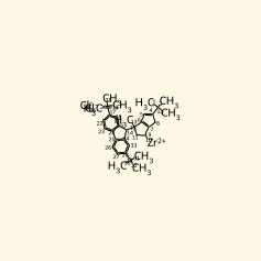 CC(C)(C)C1=CC2=C(C1)[CH]([Zr+2])CC2(C)C1c2cc(C(C)(C)C)ccc2-c2ccc(C(C)(C)C)cc21.[Cl-].[Cl-]